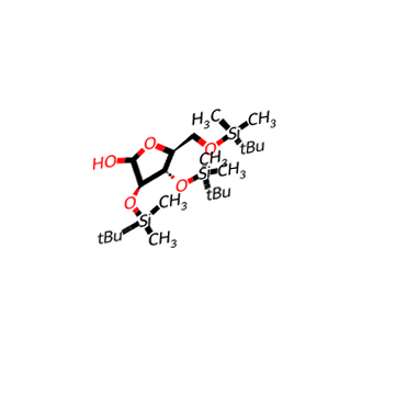 CC(C)(C)[Si](C)(C)OC[C@@H]1OC(O)[C@H](O[Si](C)(C)C(C)(C)C)[C@H]1O[Si](C)(C)C(C)(C)C